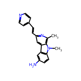 Cc1nc(/C=C/c2ccncc2)cc2c3cc(N)ccc3n(C)c12